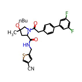 CCCCOC1(C)CC(C(=O)NCc2cc(C#N)cs2)N(C(=O)Cc2ccc(-c3cc(F)cc(F)c3)cc2)C1